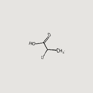 [CH2]C(Cl)C(=O)O